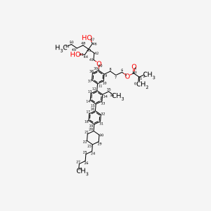 C=C(C)C(=O)OCCCc1cc(-c2ccc(-c3ccc(C4CCC(CCCCC)CC4)cc3)cc2CC)ccc1OCCC(CO)(CO)CCCC